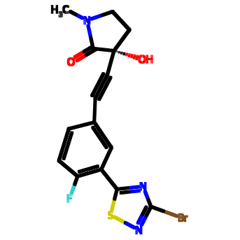 CN1CC[C@@](O)(C#Cc2ccc(F)c(-c3nc(Br)ns3)c2)C1=O